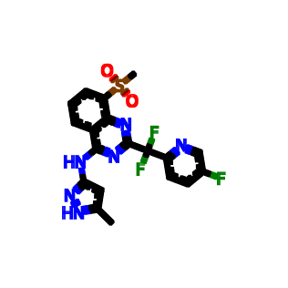 Cc1cc(Nc2nc(C(F)(F)c3ccc(F)cn3)nc3c(S(C)(=O)=O)cccc23)n[nH]1